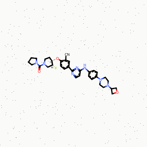 N#Cc1cc(-c2nccc(Nc3ccc(N4CCN(C5COC5)CC4)cc3)n2)ccc1O[C@H]1CCN(C(=O)N2CCCC2)C[C@H]1F